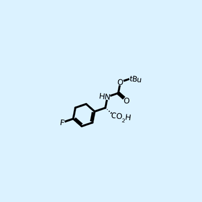 CC(C)(C)OC(=O)N[C@H](C(=O)O)C1=CC=C(F)CC1